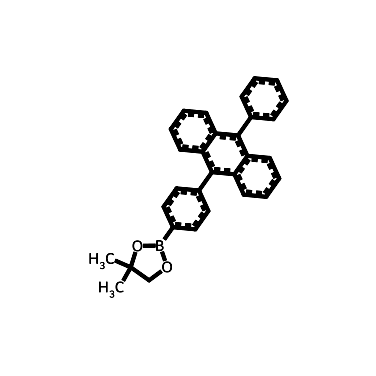 CC1(C)COB(c2ccc(-c3c4ccccc4c(-c4ccccc4)c4ccccc34)cc2)O1